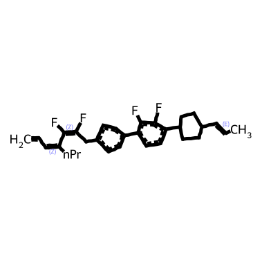 C=C/C=C(CCC)\C(F)=C(\F)Cc1ccc(-c2ccc(C3CCC(/C=C/C)CC3)c(F)c2F)cc1